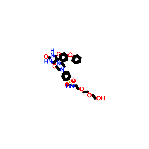 O=C1NC(=O)C(c2ccc(Oc3ccccc3)cc2)(N2CCN(c3ccc(S(=O)(=O)NCCOCCOCCO)cc3)CC2)C(=O)N1